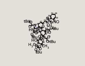 CN(C(=O)OC(C)(C)C)[C@@H]1[C@@H](O)[C@@H](O[C@H]2[C@H](NC(=O)OC(C)(C)C)C[C@H](NC(=O)OC(C)(C)C)C([C@H]3OC(CN(C)S(=O)(=O)c4ccccc4N=O)=CC[C@H]3N/C(=N/C(=O)OC(C)(C)C)NC(=O)OC(C)(C)C)[C@@H]2O)OC[C@]1(C)O